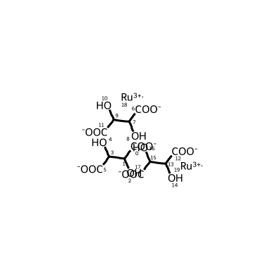 O=C([O-])C(O)C(O)C(=O)[O-].O=C([O-])C(O)C(O)C(=O)[O-].O=C([O-])C(O)C(O)C(=O)[O-].[Ru+3].[Ru+3]